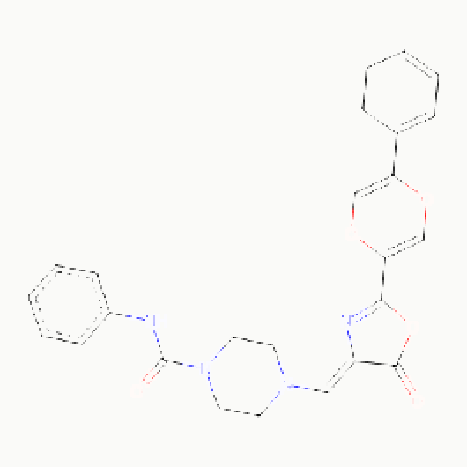 O=C1OC(C2=COC(C3=CC=CCC3)=CO2)=NC1=CN1CCN(C(=O)Nc2ccccc2)CC1